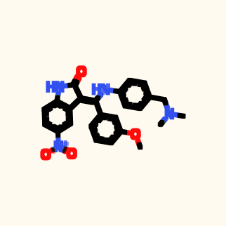 COc1cccc(/C(Nc2ccc(CN(C)C)cc2)=C2/C(=O)Nc3ccc([N+](=O)[O-])cc32)c1